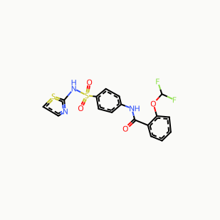 O=C(Nc1ccc(S(=O)(=O)Nc2nccs2)cc1)c1ccccc1OC(F)F